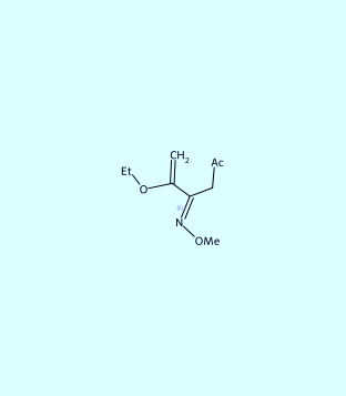 C=C(OCC)/C(CC(C)=O)=N/OC